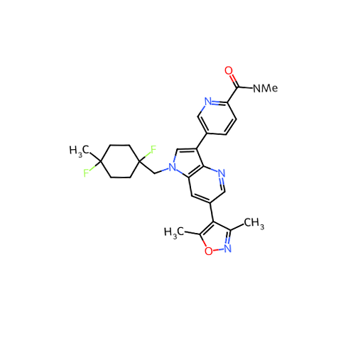 CNC(=O)c1ccc(-c2cn(CC3(F)CCC(C)(F)CC3)c3cc(-c4c(C)noc4C)cnc23)cn1